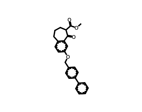 COC(=O)C1CCCc2ccc(OCc3ccc(-c4ccccc4)cc3)cc2C1=O